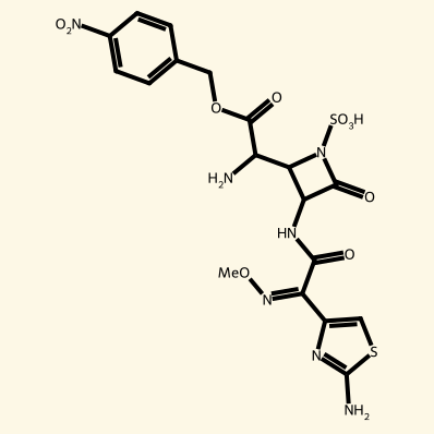 CON=C(C(=O)NC1C(=O)N(S(=O)(=O)O)C1C(N)C(=O)OCc1ccc([N+](=O)[O-])cc1)c1csc(N)n1